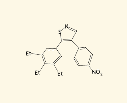 CCc1cc(-c2sncc2-c2ccc([N+](=O)[O-])cc2)cc(CC)c1CC